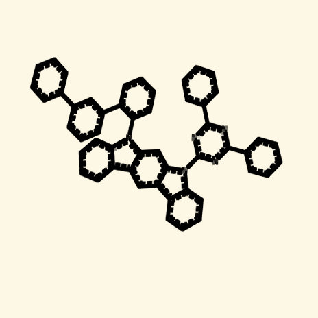 c1ccc(-c2cccc(-c3ccccc3-n3c4ccccc4c4cc5c6ccccc6n(-c6nc(-c7ccccc7)nc(-c7ccccc7)n6)c5cc43)c2)cc1